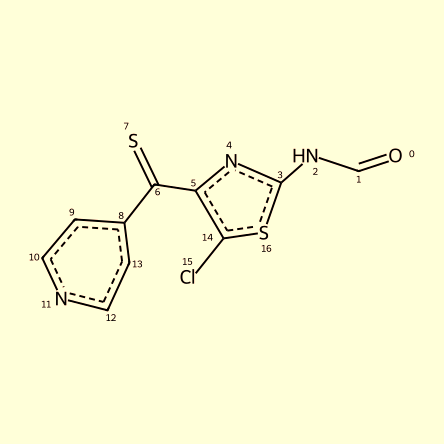 O=CNc1nc(C(=S)c2ccncc2)c(Cl)s1